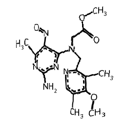 COC(=O)CN(Cc1ncc(C)c(OC)c1C)c1nc(N)nc(C)c1N=O